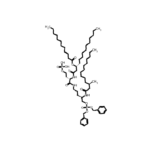 CCCCCCCCCCCC(=O)O[C@H](CCCCCCCCCCC)CC(=O)N[C@@H](CCOP(=O)(O)O)C(=O)NCCC[C@H](COP(=O)(OCc1ccccc1)OCc1ccccc1)NC(=O)C[C@H](C)CCCCCCCCCCC